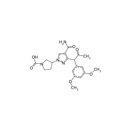 COc1cc(OC)cc(C(C(C)=O)c2nn(C3CCN(C(=O)O)C3)cc2C(N)=O)c1